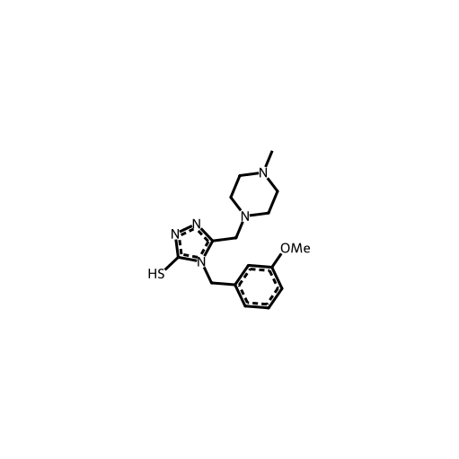 COc1cccc(Cn2c(S)nnc2CN2CCN(C)CC2)c1